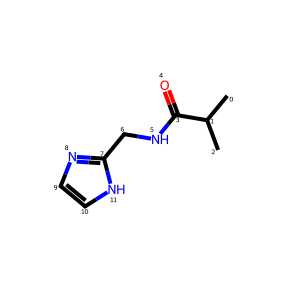 CC(C)C(=O)NCc1ncc[nH]1